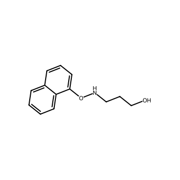 OCCCNOc1cccc2ccccc12